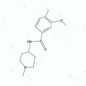 COc1cc(C(=O)NC2CCN(C)CC2)ccc1C